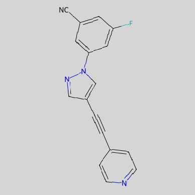 N#Cc1cc(F)cc(-n2cc(C#Cc3ccncc3)cn2)c1